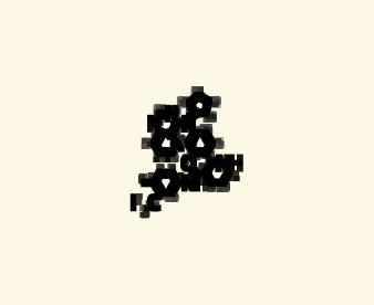 Cc1ccc(NC(=O)[C@@H]2CCCN[C@H]2c2ccc(N(c3ncnc4cccnc34)C3CCCC3)cc2)cc1C(F)(F)F